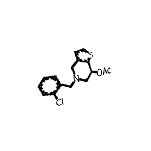 CC(=O)OC1CN(Cc2ccccc2Cl)Cc2ccsc21